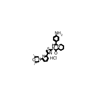 C[C@@H]1CN(c2cccc(-c3csc(NC(=O)C4CCCCN4C(=O)c4ccc(N)cc4)n3)n2)C[C@H](C)O1.Cl